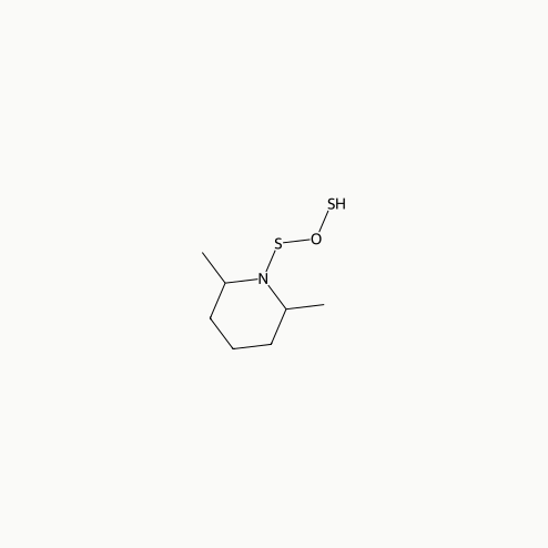 CC1CCCC(C)N1SOS